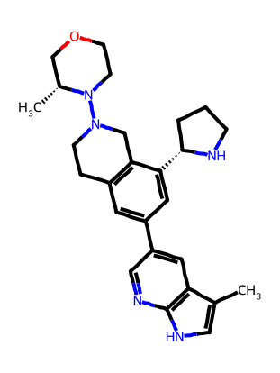 Cc1c[nH]c2ncc(-c3cc4c(c([C@@H]5CCCN5)c3)CN(N3CCOC[C@H]3C)CC4)cc12